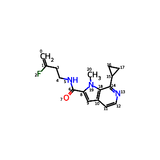 C=C(F)CCNC(=O)c1cc2ccnc(C3CC3)c2n1C